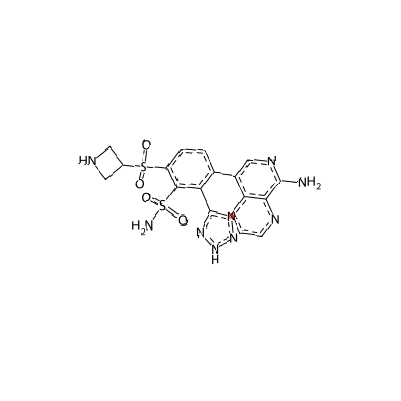 Nc1ncc(-c2ccc(S(=O)(=O)C3CNC3)c(S(N)(=O)=O)c2-c2nn[nH]n2)c2cccnc12